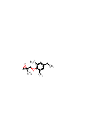 CCc1cc(C)c(OCC2(C)CO2)c(C)c1